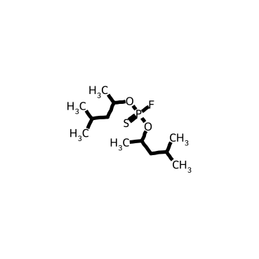 CC(C)CC(C)OP(F)(=S)OC(C)CC(C)C